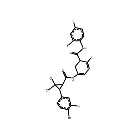 O=C(Nc1ccc(F)cc1F)C1CC(NC(=O)C2C(c3ccc(Br)c(Br)c3)C2(Cl)Cl)=CC=C1Cl